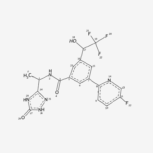 CC(NC(=O)c1cc(-c2ccc(F)cn2)cc(C(O)C(F)(F)F)c1)c1n[nH]c(=O)[nH]1